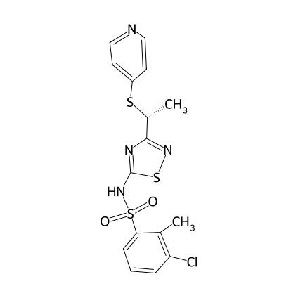 Cc1c(Cl)cccc1S(=O)(=O)Nc1nc([C@@H](C)Sc2ccncc2)ns1